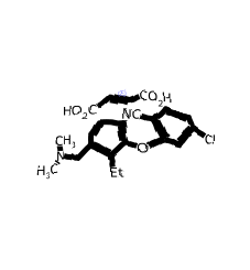 CCc1c(CN(C)C)cccc1Oc1cc(Cl)ccc1C#N.O=C(O)/C=C/C(=O)O